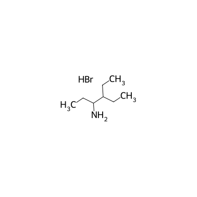 Br.CCC(N)C(CC)CC